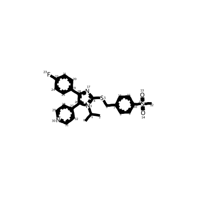 CC(C)n1c(SCc2ccc(S(C)(=O)=O)cc2)nc(-c2ccc(F)cc2)c1-c1ccncc1